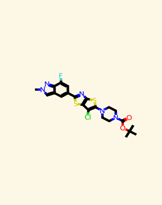 Cn1cc2cc(-c3nc4sc(N5CCN(C(=O)OC(C)(C)C)CC5)c(Cl)c4s3)cc(F)c2n1